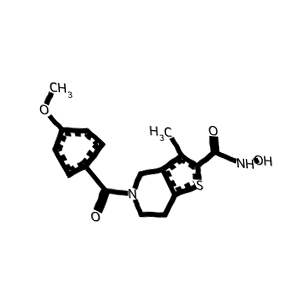 COc1ccc(C(=O)N2CCc3sc(C(=O)NO)c(C)c3C2)cc1